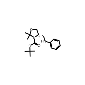 CC(C)(C)OC(=O)N1[C@@H](CNc2ccccc2)COC1(C)C